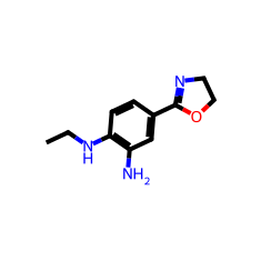 CCNc1ccc(C2=NCCO2)cc1N